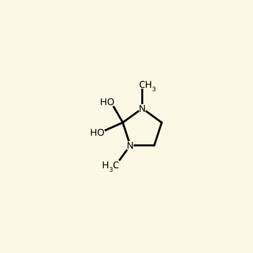 CN1CCN(C)C1(O)O